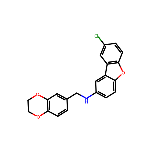 Clc1ccc2oc3ccc(NCc4ccc5c(c4)OCCO5)cc3c2c1